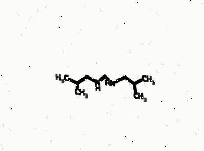 CC(C)CNCNCC(C)C